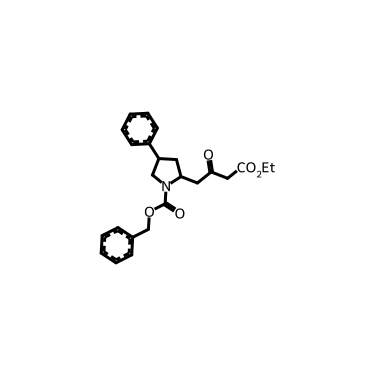 CCOC(=O)CC(=O)CC1CC(c2ccccc2)CN1C(=O)OCc1ccccc1